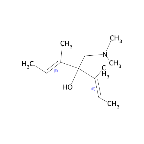 C/C=C(\C)C(O)(CN(C)C)/C(C)=C/C